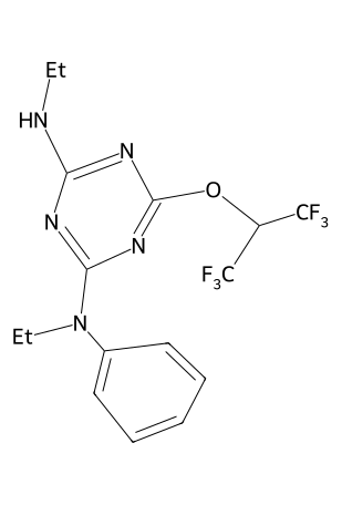 CCNc1nc(OC(C(F)(F)F)C(F)(F)F)nc(N(CC)c2ccccc2)n1